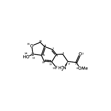 COC(=O)[C@@H](N)Cc1cc2c(cc1F)B(O)OC2